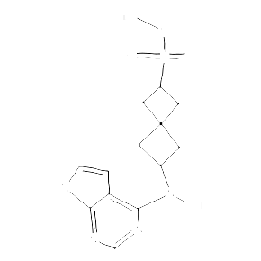 CC(C)NS(=O)(=O)C1CC2(CC(N(C)c3ncnc4[nH]ccc34)C2)C1